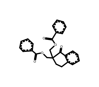 O=C(OCC1(COC(=O)c2ccccc2)CCc2ccccc2C1=O)c1ccccc1